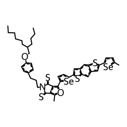 CCCCCCC(CCCC)COc1ccc(CCCN2C(=S)c3c(C)oc(-c4ccc(-c5cc6cc7sc(-c8ccc(C)[se]8)cc7cc6s5)[se]4)c3C2=S)cc1